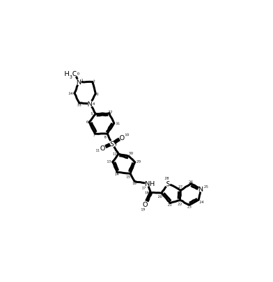 CN1CCN(c2ccc(S(=O)(=O)c3ccc(CNC(=O)c4cc5ccncc5s4)cc3)cc2)CC1